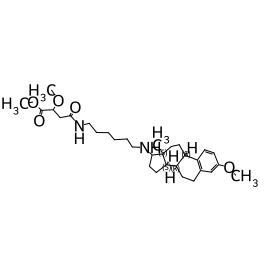 COC(=O)C(CC(=O)NCCCCCCNC1CC[C@H]2[C@@H]3CCc4cc(OC)ccc4[C@H]3CC[C@]12C)OC